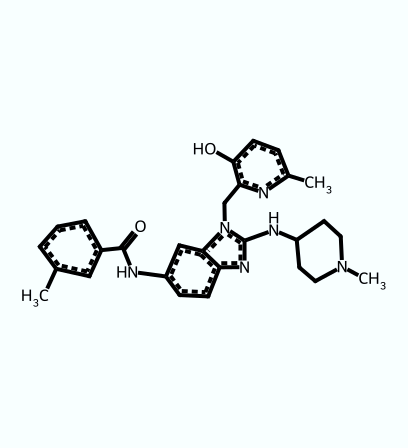 Cc1cccc(C(=O)Nc2ccc3nc(NC4CCN(C)CC4)n(Cc4nc(C)ccc4O)c3c2)c1